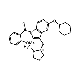 COc1ccccc1C(=O)n1cc(C[C@H]2CCCN2C)c2cc(OC3CCCCC3)ccc21